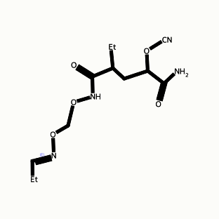 CC/C=N/OCONC(=O)C(CC)CC(OC#N)C(N)=O